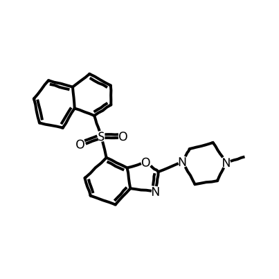 CN1CCN(c2nc3cccc(S(=O)(=O)c4cccc5ccccc45)c3o2)CC1